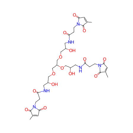 CC1=CC(=O)N(CCC(=O)NCC(O)COCC(COCC(O)CNC(=O)CCN2C(=O)C=C(C)C2=O)OCC(O)CNC(=O)CCN2C(=O)C=C(C)C2=O)C1=O